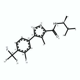 Cc1c(C(=O)N[C@@H](C)C(C)C)noc1-c1ccc(C(F)(F)F)c(F)c1